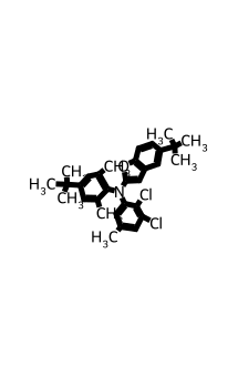 Cc1cc(Cl)c(Cl)c(N(c2cc3cc(C(C)(C)C)ccc3o2)c2c(C)cc(C(C)(C)C)cc2C)c1